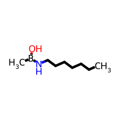 CCCCCCCNB(C)O